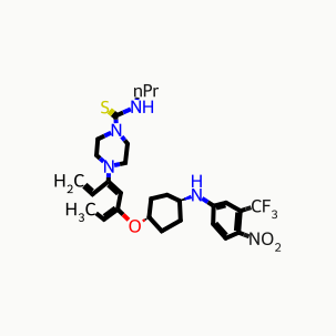 C=C/C(=C\C(=C/C)O[C@H]1CC[C@H](Nc2ccc([N+](=O)[O-])c(C(F)(F)F)c2)CC1)N1CCN(C(=S)NCCC)CC1